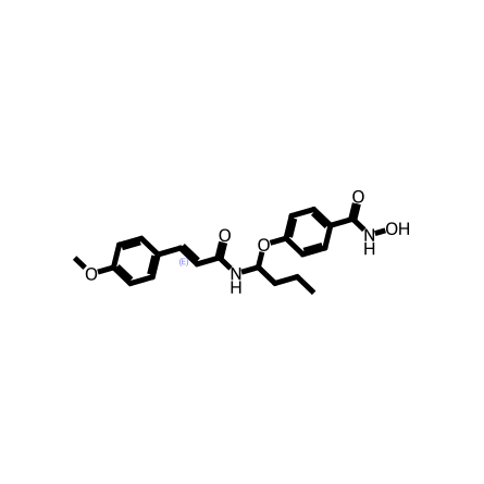 CCCC(NC(=O)/C=C/c1ccc(OC)cc1)Oc1ccc(C(=O)NO)cc1